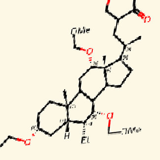 CC[C@H]1[C@@H](OCOC)C2C3CC[C@H]([C@H](C)CC(CO)C(=O)OC)[C@@]3(C)[C@@H](OCOC)CC2[C@@]2(C)CC[C@@H](OCOC)C[C@@H]12